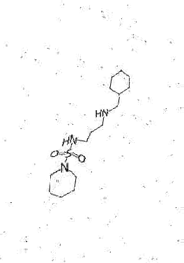 O=S(=O)(NCCCNCC1CCCCC1)N1CCCCC1